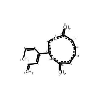 C=C/C=C(\C=C/C)c1ccc(=C)ccccc(=C)n1